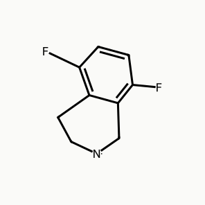 Fc1ccc(F)c2c1CC[N]C2